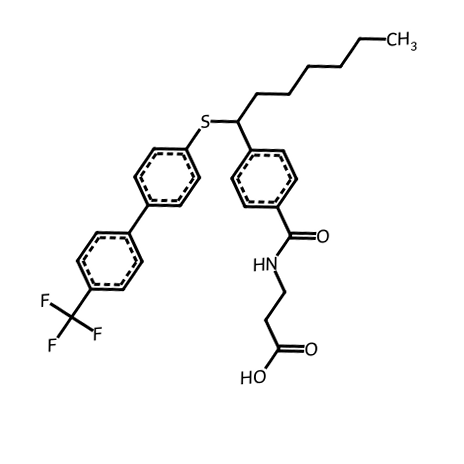 CCCCCCC(Sc1ccc(-c2ccc(C(F)(F)F)cc2)cc1)c1ccc(C(=O)NCCC(=O)O)cc1